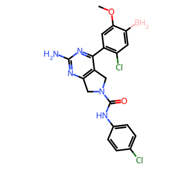 Bc1cc(Cl)c(-c2nc(N)nc3c2CN(C(=O)Nc2ccc(Cl)cc2)C3)cc1OC